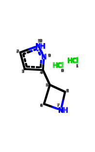 Cl.Cl.c1cc(C2CNC2)n[nH]1